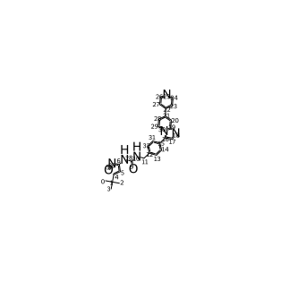 CC(C)(C)c1cc(NC(=O)NCc2ccc(-c3cnc4cc(-c5ccncc5)ccn34)cc2)no1